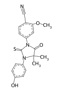 COc1cc(N2C(=O)C(C)(C)N(c3ccc(O)cc3)C2=S)ccc1C#N